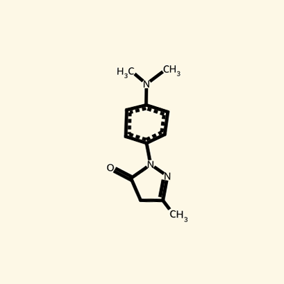 CC1=NN(c2ccc(N(C)C)cc2)C(=O)C1